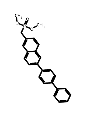 COP(=O)(Cc1ccc2cc(-c3ccc(-c4ccccc4)cc3)ccc2c1)OC